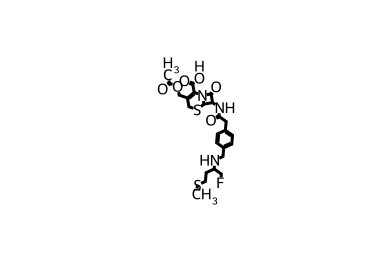 CSCCC(CF)NCc1ccc(CC(=O)NC2C(=O)N3C(C(=O)O)=C(COC(C)=O)CSC23)cc1